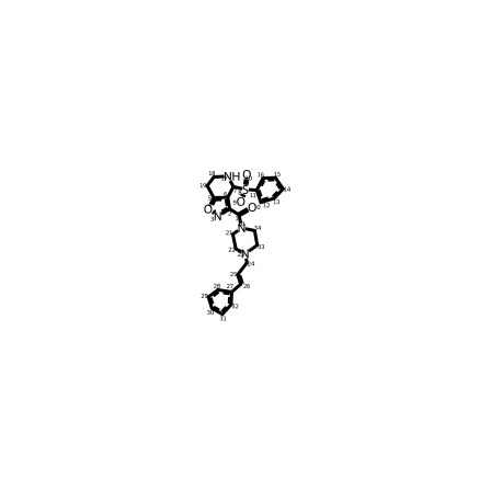 O=C(c1noc2c1C(S(=O)(=O)c1ccccc1)NCC2)N1CCN(CC=Cc2ccccc2)CC1